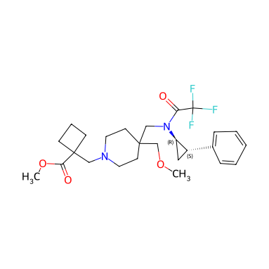 COCC1(CN(C(=O)C(F)(F)F)[C@@H]2C[C@H]2c2ccccc2)CCN(CC2(C(=O)OC)CCC2)CC1